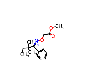 CCC(C)(C)/C(=N/OCC(=O)OC)c1ccccc1